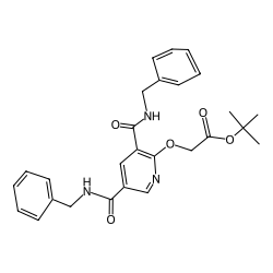 CC(C)(C)OC(=O)COc1ncc(C(=O)NCc2ccccc2)cc1C(=O)NCc1ccccc1